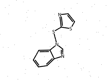 c1ccc2c(c1)ncn2Sc1nccs1